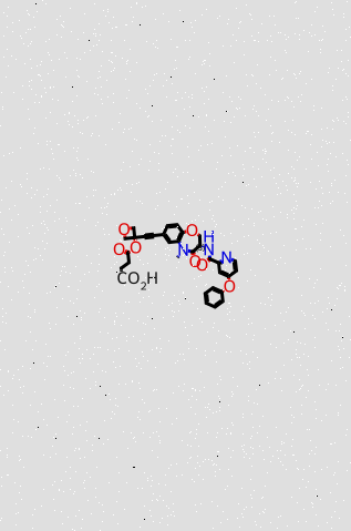 CN1C(=O)[C@@H](NC(=O)c2cc(Oc3ccccc3)ccn2)COc2ccc(C#CC3(OC(=O)CCC(=O)O)COC3)cc21